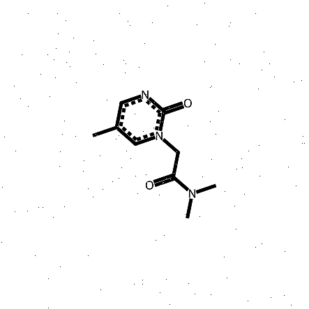 Cc1cnc(=O)n(CC(=O)N(C)C)c1